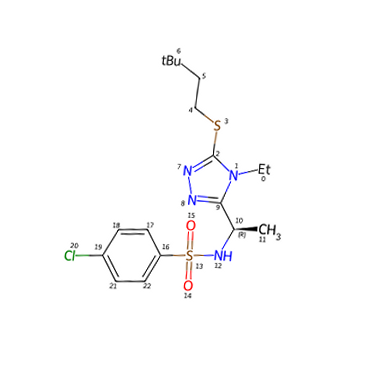 CCn1c(SCCC(C)(C)C)nnc1[C@@H](C)NS(=O)(=O)c1ccc(Cl)cc1